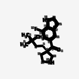 CC(C)(C)CC[C@@]1(C(=O)c2cc(F)c3[nH]ccc3c2)CCNC1